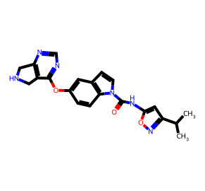 CC(C)c1cc(NC(=O)n2ccc3cc(Oc4ncnc5c4CNC5)ccc32)on1